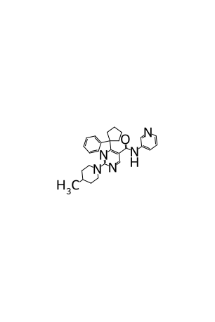 CC1CCN(c2ncc(C(=O)Nc3cccnc3)c(C3(c4ccccc4)CCCC3)n2)CC1